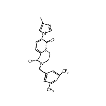 Cc1cn(-c2ccc3n(c2=O)CCN(Cc2cc(C(F)(F)F)cc(C(F)(F)F)c2)C3=O)cn1